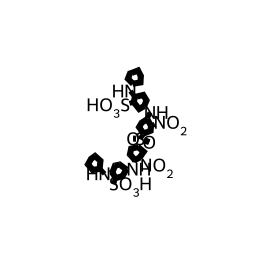 O=[N+]([O-])c1cc(S(=O)(=O)c2ccc(Nc3ccc(Nc4ccccc4)c(S(=O)(=O)O)c3)c([N+](=O)[O-])c2)ccc1Nc1ccc(Nc2ccccc2)c(S(=O)(=O)O)c1